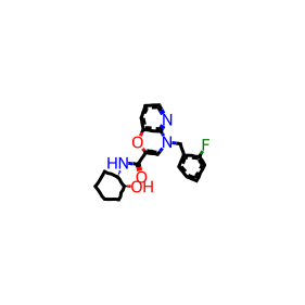 O=C(N[C@H]1CCCC[C@@H]1O)C1=CN(Cc2ccccc2F)c2ncccc2O1